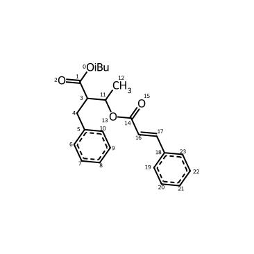 CC(C)COC(=O)C(Cc1ccccc1)C(C)OC(=O)C=Cc1ccccc1